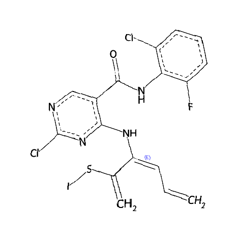 C=C/C=C(/Nc1nc(Cl)ncc1C(=O)Nc1c(F)cccc1Cl)C(=C)SI